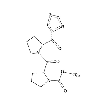 CC(C)(C)OC(=O)N1CCCC1C(=O)N1CCCC1C(=O)c1cs[c]n1